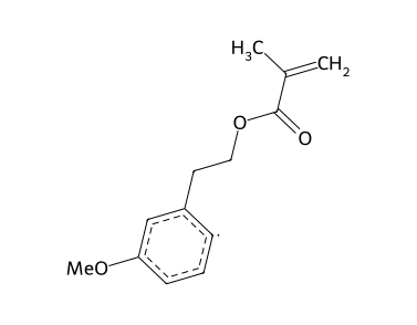 C=C(C)C(=O)OCCc1[c]ccc(OC)c1